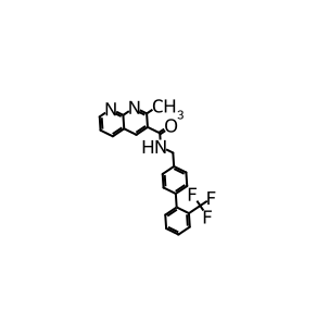 Cc1nc2ncccc2cc1C(=O)NCc1ccc(-c2ccccc2C(F)(F)F)cc1